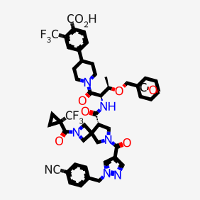 C[C@@H](OCC12CCC(CC1)OC2)[C@H](NC(=O)[C@@H]1CN(C(=O)c2cnn(Cc3ccc(C#N)cc3)c2)CC12CN(C(=O)C1(C(F)(F)F)CC1)C2)C(=O)N1CCC(c2ccc(C(=O)O)c(C(F)(F)F)c2)CC1